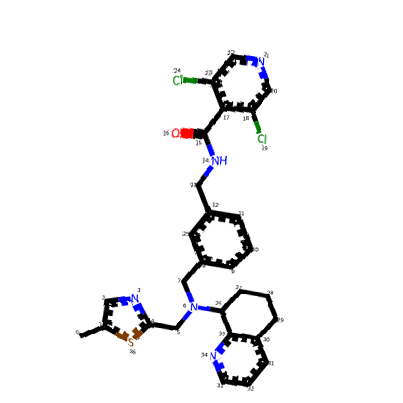 Cc1cnc(CN(Cc2cccc(CNC(=O)c3c(Cl)cncc3Cl)c2)C2CCCc3cccnc32)s1